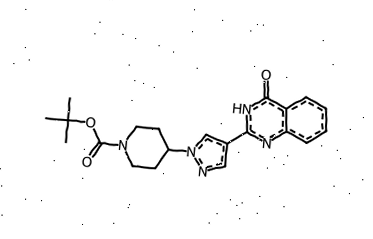 CC(C)(C)OC(=O)N1CCC(n2cc(-c3nc4ccccc4c(=O)[nH]3)cn2)CC1